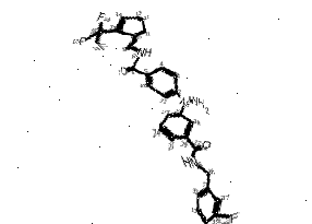 N[As](c1[c]cc(C(=O)NCc2ccccc2C(F)(F)F)cc1)c1cccc(C(=O)NCc2cccc(F)c2)c1